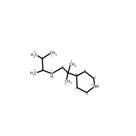 CC(C)C(C)NCC(C)(C)C1CCNCC1